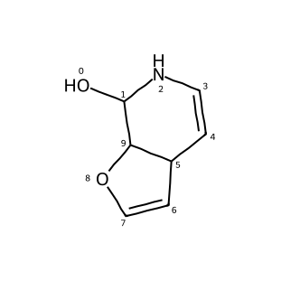 OC1NC=CC2C=COC21